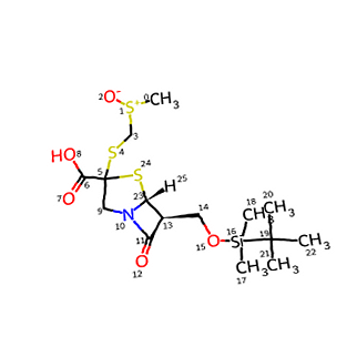 C[S+]([O-])CSC1(C(=O)O)CN2C(=O)[C@H](CO[Si](C)(C)C(C)(C)C)[C@H]2S1